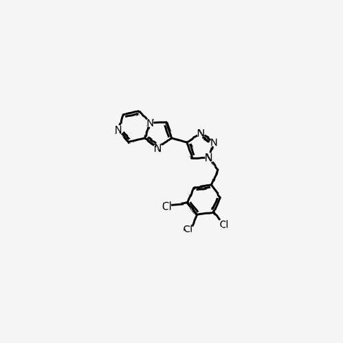 Clc1cc(Cn2cc(-c3cn4ccncc4n3)nn2)cc(Cl)c1Cl